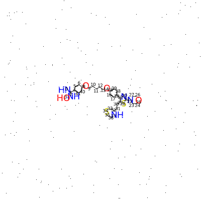 N=C(NO)c1ccc(OCCCCCOc2ccc(-c3nc(N4CCOCC4)sc3CCC3CSCCN3)cc2)cc1